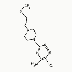 Nc1nc(N2CCN(CCOC(F)(F)F)CC2)nnc1Cl